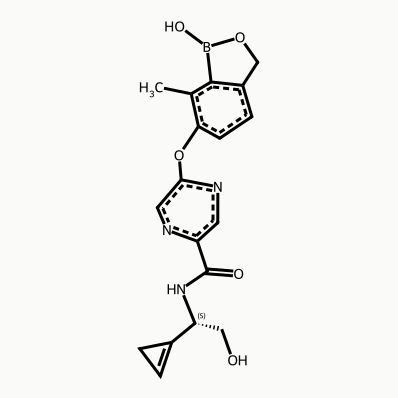 Cc1c(Oc2cnc(C(=O)N[C@H](CO)C3=CC3)cn2)ccc2c1B(O)OC2